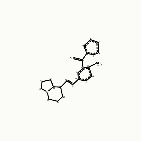 O=C(c1ccccc1)c1cc(C=CC2CCCN3CCCC23)ccc1[N+](=O)[O-]